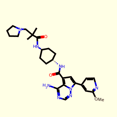 COc1cc(-c2cc(C(=O)N[C@H]3CC[C@H](NC(=O)C(C)(C)CN4CCCC4)CC3)c3c(N)ncnn23)ccn1